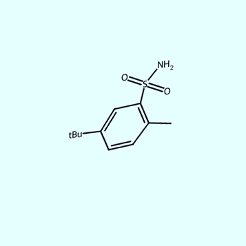 Cc1ccc(C(C)(C)C)cc1S(N)(=O)=O